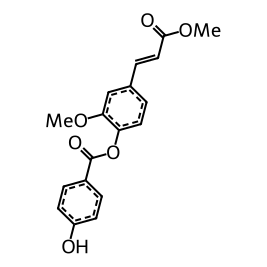 COC(=O)C=Cc1ccc(OC(=O)c2ccc(O)cc2)c(OC)c1